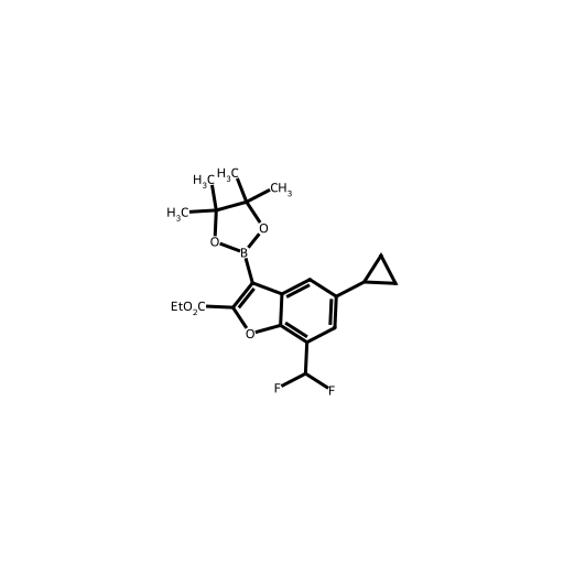 CCOC(=O)c1oc2c(C(F)F)cc(C3CC3)cc2c1B1OC(C)(C)C(C)(C)O1